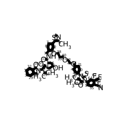 Cc1ncsc1-c1ccc(CNC(=O)[C@@H]2C[C@@H](O)CN2C(=O)[C@H](C(C)C)N2Cc3ccccc3C2=O)c(OCCCOCCOc2ccc(N3C(=S)N(c4ccc(C#N)c(C(F)(F)F)c4)C(=O)C3(C)C)cc2)c1